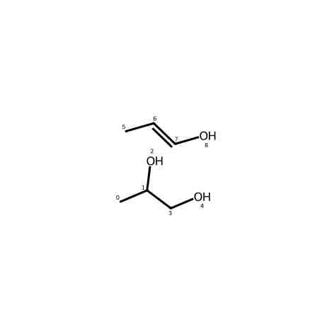 CC(O)CO.CC=CO